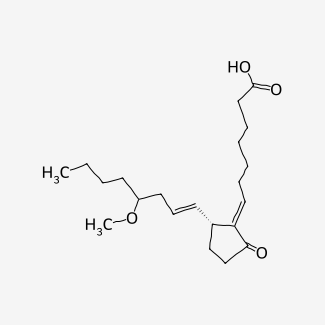 CCCCC(C/C=C/[C@H]1CCC(=O)/C1=C/CCCCCC(=O)O)OC